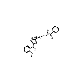 CCc1ccccc1C(=O)c1cnc(NCCCNC(=O)c2ccccc2)s1